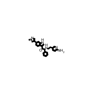 Cn1cc(-c2ccc3c(C(=O)C(NCCc4ccc(N)nc4)c4ccccc4)c[nH]c3c2)cn1